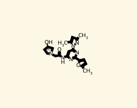 Cc1cc(C)n(-c2cc(NC(=O)CN3CC[C@@H](O)C3)nc(-c3ccc(C)o3)n2)n1